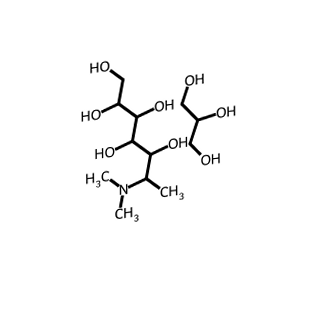 CC(C(O)C(O)C(O)C(O)CO)N(C)C.OCC(O)CO